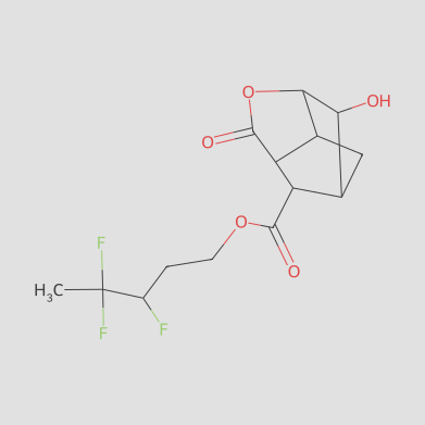 CC(F)(F)C(F)CCOC(=O)C1C2CC3C(OC(=O)C31)C2O